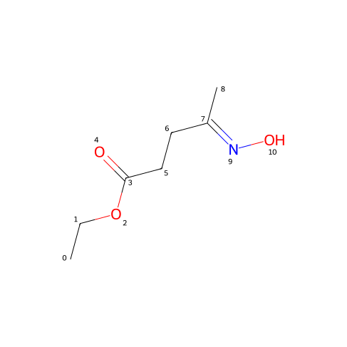 CCOC(=O)CCC(C)=NO